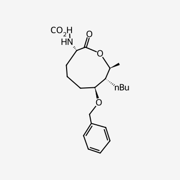 CCCC[C@H]1[C@H](C)OC(=O)[C@@H](NC(=O)O)CCC[C@@H]1OCc1ccccc1